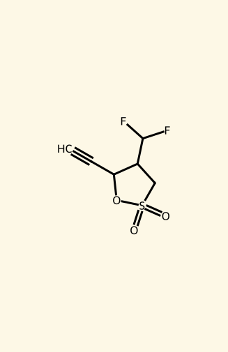 C#CC1OS(=O)(=O)CC1C(F)F